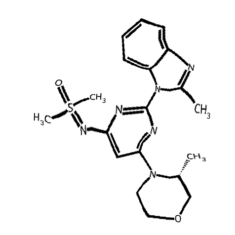 Cc1nc2ccccc2n1-c1nc(N=S(C)(C)=O)cc(N2CCOC[C@H]2C)n1